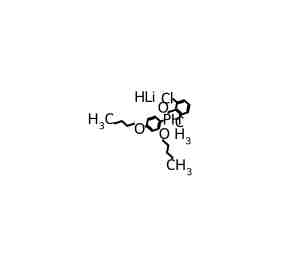 CCCCCOc1ccc(PC(=O)c2c(C)cccc2Cl)c(OCCCCC)c1.[LiH]